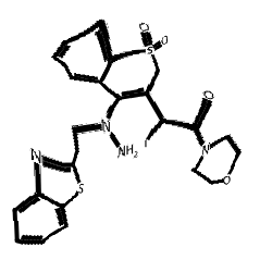 NN(Cc1nc2ccccc2s1)C1=C(C(I)C(=O)N2CCOCC2)CS(=O)(=O)c2ccccc21